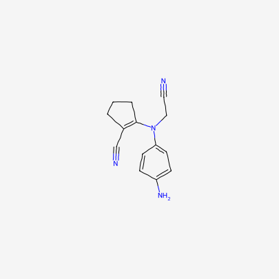 N#CCN(C1=C(C#N)CCC1)c1ccc(N)cc1